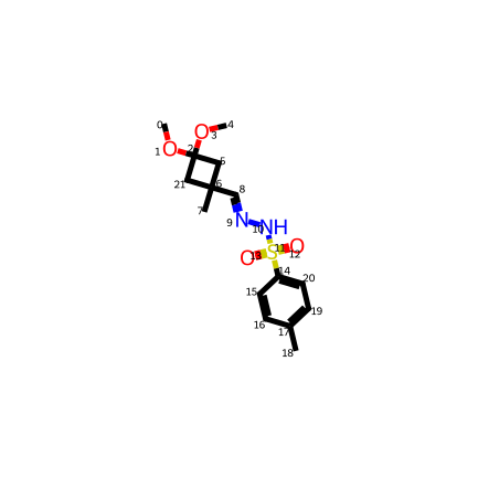 COC1(OC)CC(C)(C=NNS(=O)(=O)c2ccc(C)cc2)C1